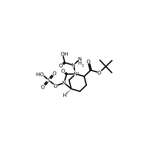 CC(C)(C)OC(=O)C1CC[C@@H]2C[N@+]1(N(N)C(=O)O)C(=O)N2OS(=O)(=O)O